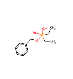 CCP(O)(O)(CC)OCc1ccccc1